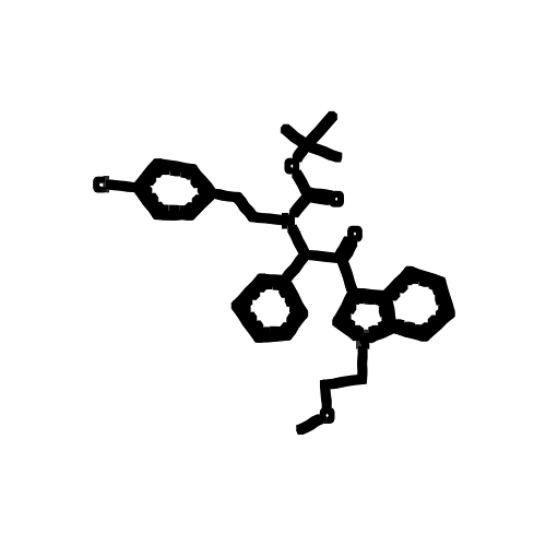 COCCn1cc(C(=O)C(c2ccccc2)N(CCc2ccc(Cl)cc2)C(=O)OC(C)(C)C)c2ccccc21